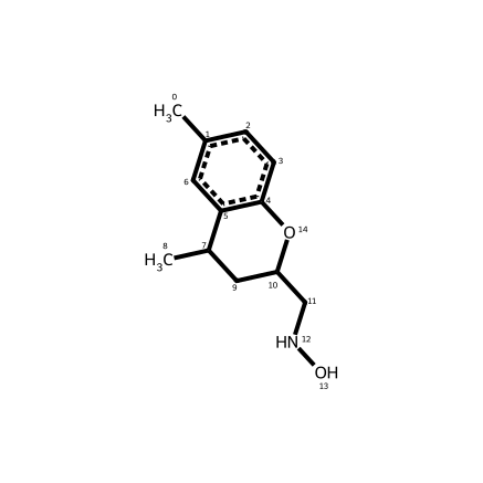 Cc1ccc2c(c1)C(C)CC(CNO)O2